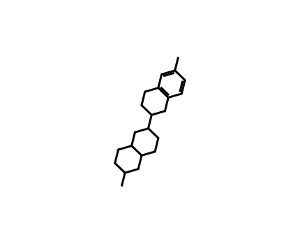 Cc1ccc2c(c1)CCC(C1CCC3CC(C)CCC3C1)C2